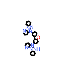 c1ccc2c(c1)NC1N(c3ccc4oc5ccc(-n6c7cccnc7n7c8ccccc8nc67)cc5c4c3)c3cccnc3N21